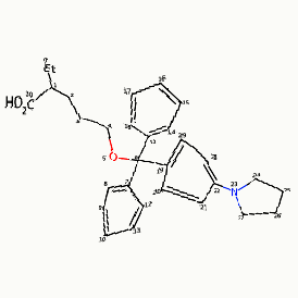 CCC(CCCOC(c1ccccc1)(c1ccccc1)c1ccc(N2CCCC2)cc1)C(=O)O